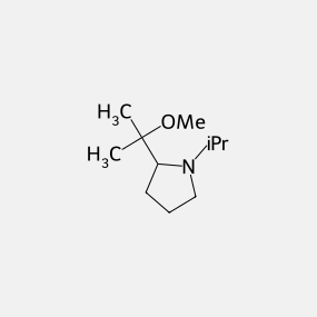 COC(C)(C)C1CCCN1C(C)C